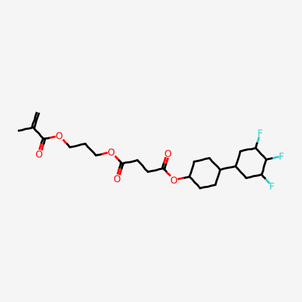 C=C(C)C(=O)OCCCOC(=O)CCC(=O)OC1CCC(C2CC(F)C(F)C(F)C2)CC1